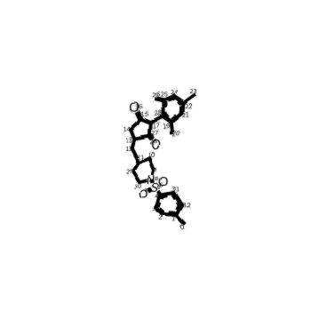 Cc1ccc(S(=O)(=O)N2CCC(CC3CC(=O)C(c4c(C)cc(C)cc4C)C3=O)CC2)cc1